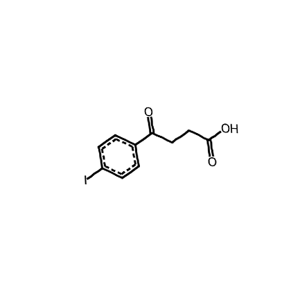 O=C(O)CCC(=O)c1ccc(I)cc1